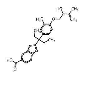 C=C(C)C(O)COc1ccc(C(CC)(CC)c2cc3cc(C(=O)O)ccc3s2)cc1C